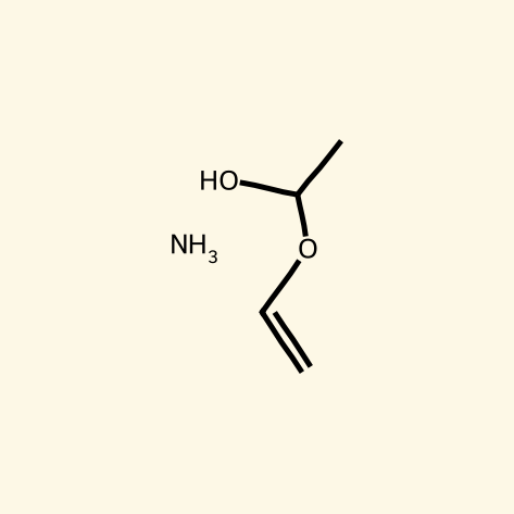 C=COC(C)O.N